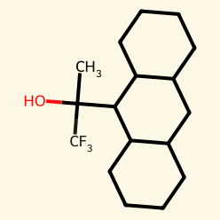 CC(O)(C1C2CCCCC2CC2CCCCC21)C(F)(F)F